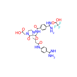 CC(=O)[C@@]1(CCCC(=O)Nc2ccc(C(=N)N)cc2)C(=O)N(CC(=O)O)CCN1NC(=O)c1ccc(C(=N)N)cc1.O=C(O)C(F)(F)F